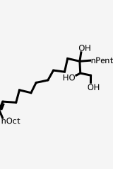 CCCCCCCC/C=C\CCCCCCCCC(O)(CCCCC)C(O)CO